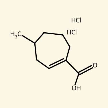 CC1CC=C(C(=O)O)CCC1.Cl.Cl